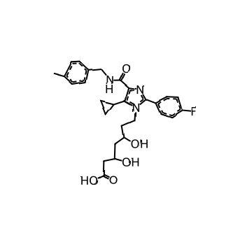 Cc1ccc(CNC(=O)c2nc(-c3ccc(F)cc3)n(CCC(O)CC(O)CC(=O)O)c2C2CC2)cc1